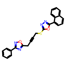 C(#CCc1nc(-c2ccccc2)no1)CSc1nnc(-c2cccc3ccccc23)o1